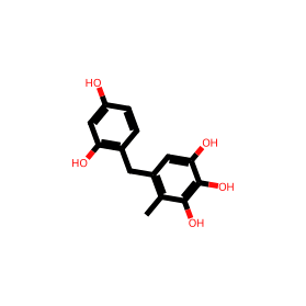 Cc1c(Cc2ccc(O)cc2O)cc(O)c(O)c1O